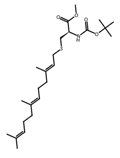 COC(=O)[C@H](CSC/C=C(\C)CC/C=C(\C)CCC=C(C)C)NC(=O)OC(C)(C)C